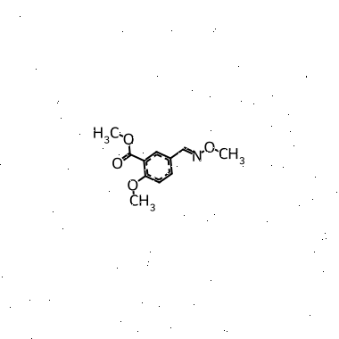 CO/N=C/c1ccc(OC)c(C(=O)OC)c1